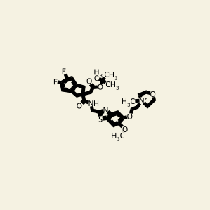 COc1cc2sc(CNC(=O)C3(CC(=O)OC(C)(C)C)Cc4cc(F)c(F)cc4C3)nc2cc1OCC[N+]1(C)CCOCC1